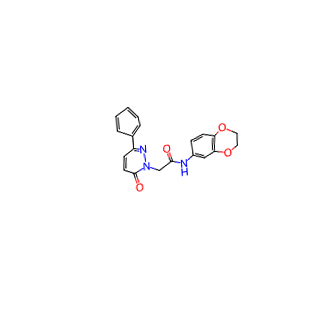 O=C(Cn1nc(-c2ccccc2)ccc1=O)Nc1ccc2c(c1)OCCO2